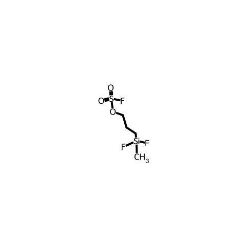 C[Si](F)(F)CCCOS(=O)(=O)F